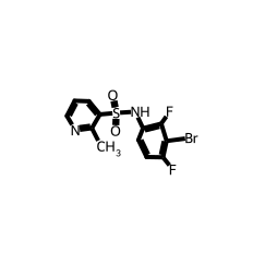 Cc1ncccc1S(=O)(=O)Nc1ccc(F)c(Br)c1F